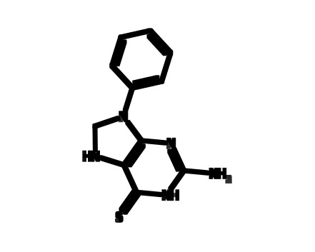 Nc1nc2c(c(=S)[nH]1)NCN2c1ccccc1